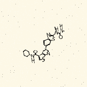 CNC(=O)Nc1nc2ccc(-c3cnc4scc(C(=O)NC5CCCCC5)c4c3)cc2s1